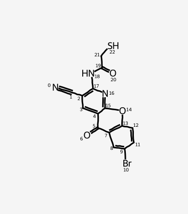 N#Cc1cc2c(=O)c3cc(Br)ccc3oc2nc1NC(=O)CS